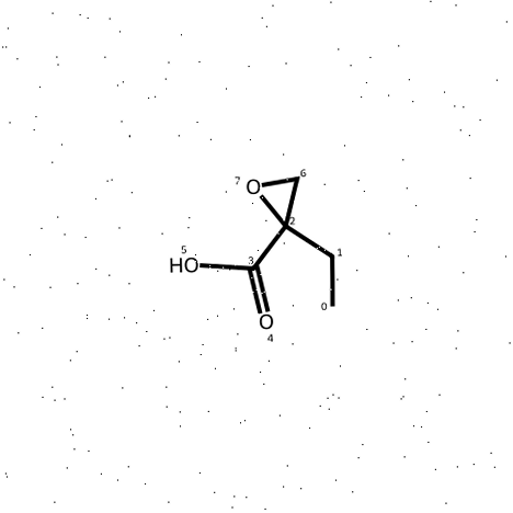 CCC1(C(=O)O)CO1